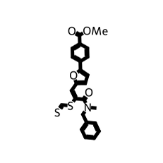 COC(=O)c1ccc(-c2ccc(/C=C(/SC=S)C(=O)N(C)Cc3ccccc3)o2)cc1